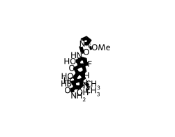 B=C1C(C(N)=O)=C(O)[C@@H](N(C)C)[C@@H]2C[C@@H]3Cc4c(F)cc(NC(=O)CN5CCC[C@@H]5COC)c(O)c4C(=O)C3=C(O)[C@]12O